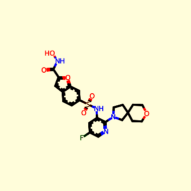 O=C(NO)c1cc2ccc(S(=O)(=O)Nc3cc(F)cnc3N3CCC4(CCOCC4)C3)cc2o1